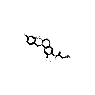 Cc1cc2c(cc1NC(=O)CC(C)(C)C)OC[C@@H](C)N2Cc1ccc(F)cc1